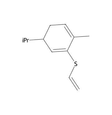 C=CSC1=CC(C(C)C)CC=C1C